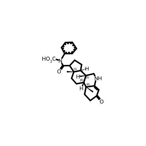 C[C@]12CCC(=O)C=C1NC[C@@H]1[C@H]2CC[C@]2(C)C(C(=O)N(C(=O)O)c3ccccc3)CC[C@@H]12